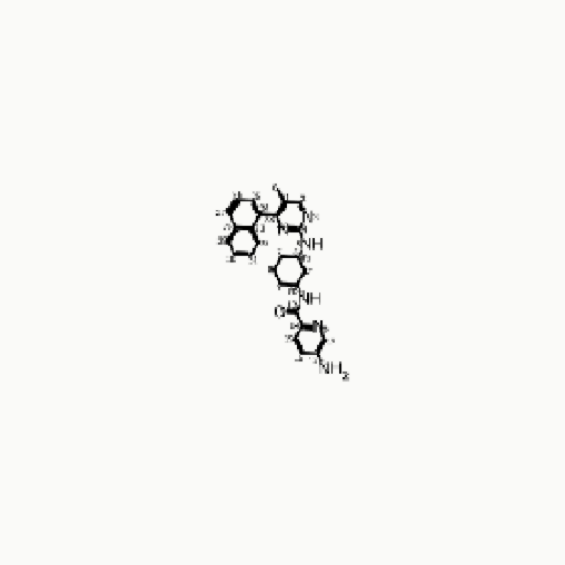 Cc1cnc(N[C@@H]2CCC[C@H](NC(=O)c3ccc(N)cn3)C2)nc1-c1cc#cc2ccccc12